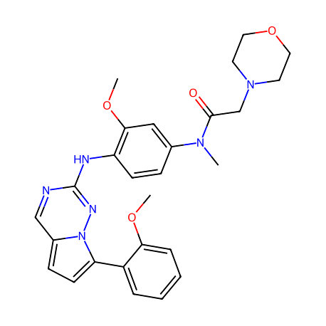 COc1cc(N(C)C(=O)CN2CCOCC2)ccc1Nc1ncc2ccc(-c3ccccc3OC)n2n1